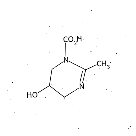 CC1=N[CH]C(O)CN1C(=O)O